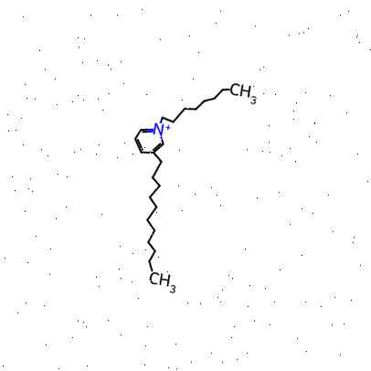 CCCCCCCCCCCc1ccc[n+](CCCCCCCC)c1